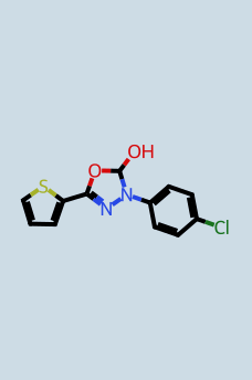 OC1OC(c2cccs2)=NN1c1ccc(Cl)cc1